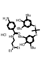 CC(C)(Sc1cc(C(C)(C)C)c(O)c(C(C)(C)C)c1)Sc1cc(C(C)(C)C)c(O)c(C(C)(C)C)c1.CCN(CC)CCNC(=O)c1ccc(N)cc1.Cl